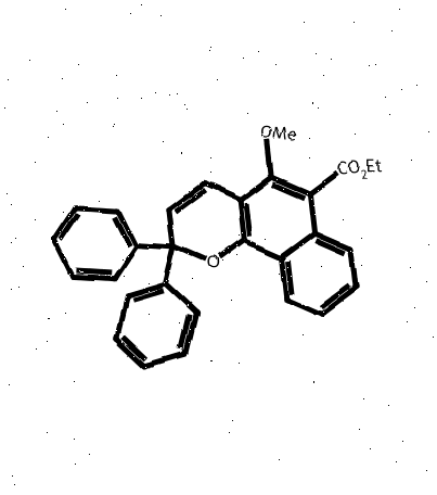 CCOC(=O)c1c(OC)c2c(c3ccccc13)OC(c1ccccc1)(c1ccccc1)C=C2